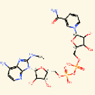 CNc1nc2c(N)ccnc2n1[C@@H]1O[C@H](COP(=O)(O)OP(=O)(O)OC[C@H]2O[C@@H]([n+]3cccc(C(N)=O)c3)C(O)C2O)[C@H](O)C1O